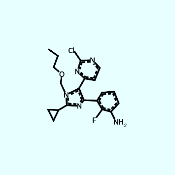 CCCOCn1c(C2CC2)nc(-c2cccc(N)c2F)c1-c1ccnc(Cl)n1